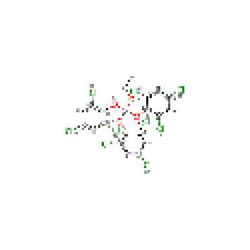 CCO[Si](Oc1c(Cl)cc(Cl)cc1Cl)(Oc1c(Cl)cc(Cl)cc1Cl)Oc1c(Cl)cc(Cl)cc1Cl